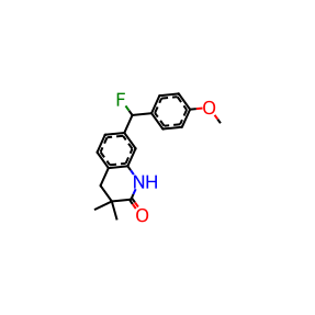 COc1ccc(C(F)c2ccc3c(c2)NC(=O)C(C)(C)C3)cc1